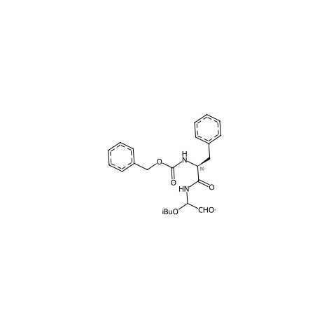 CC(C)COC([C]=O)NC(=O)[C@H](Cc1ccccc1)NC(=O)OCc1ccccc1